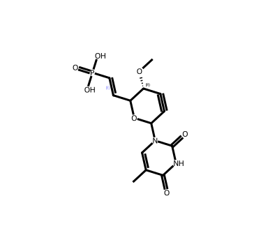 CO[C@@H]1C#CC(n2cc(C)c(=O)[nH]c2=O)OC1/C=C/P(=O)(O)O